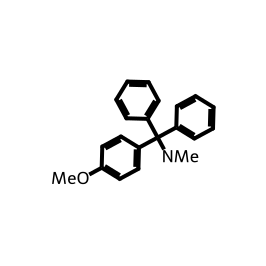 CNC(c1ccccc1)(c1ccccc1)c1ccc(OC)cc1